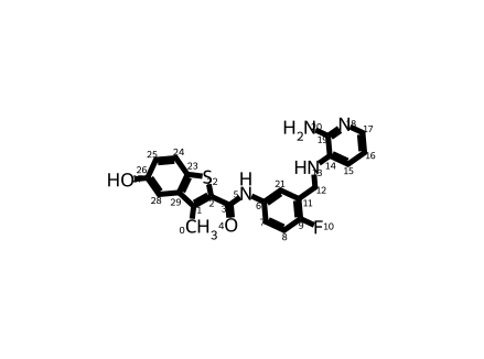 Cc1c(C(=O)Nc2ccc(F)c(CNc3cccnc3N)c2)sc2ccc(O)cc12